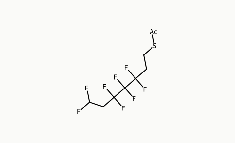 CC(=O)SCCC(F)(F)C(F)(F)C(F)(F)CC(F)F